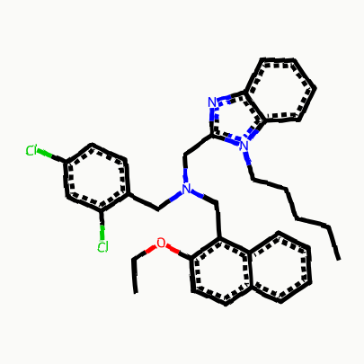 CCCCCn1c(CN(Cc2ccc(Cl)cc2Cl)Cc2c(OCC)ccc3ccccc23)nc2ccccc21